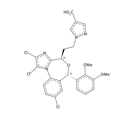 COc1cccc([C@H]2O[C@H](CCn3cc(C(=O)O)cn3)c3nc(Cl)c(Cl)n3-c3ccc(Cl)cc32)c1OC